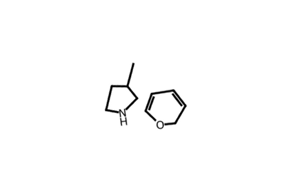 C1=CCOC=C1.CC1CCNC1